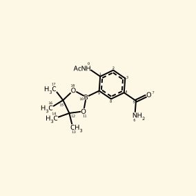 CC(=O)Nc1ccc(C(N)=O)cc1B1OC(C)(C)C(C)(C)O1